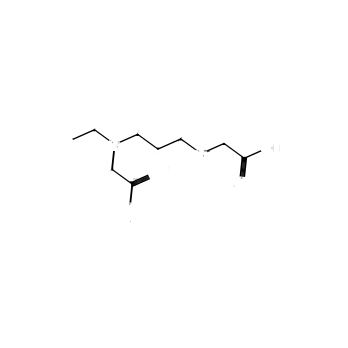 [CH2]CN(CC[C]NCC(=O)O)CC(=O)O